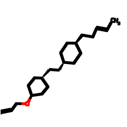 C/C=C/CC[C@H]1CC[C@H](CC[C@H]2CC[C@H](OC/C=C/CC)CC2)CC1